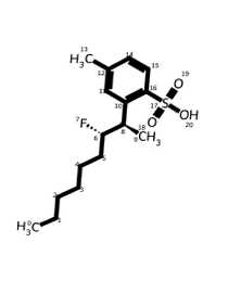 CCCCCC[C@H](F)[C@H](C)c1cc(C)ccc1S(=O)(=O)O